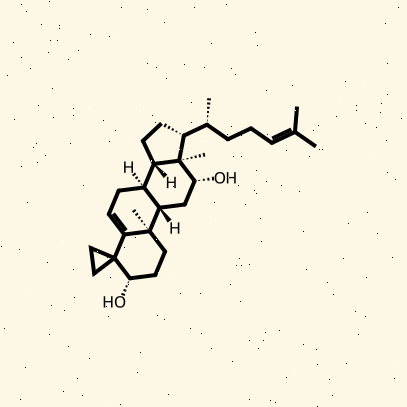 CC(C)=CCC[C@@H](C)[C@H]1CC[C@H]2[C@@H]3CC=C4C5(CC5)[C@@H](O)CC[C@]4(C)[C@H]3C[C@@H](O)[C@]12C